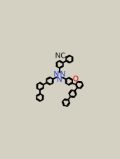 N#Cc1ccccc1-c1cccc(-c2nc(-c3ccc(-c4cccc(-c5ccccc5)c4)cc3)nc(-c3ccc4c(c3)oc3cccc(-c5ccc(-c6ccccc6)cc5)c34)n2)c1